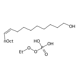 CCCCCCCC/C=C\CCCCCCCCO.CCOOP(=O)(O)O